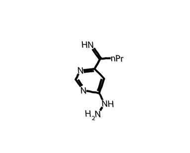 CCCC(=N)c1cc(NN)ncn1